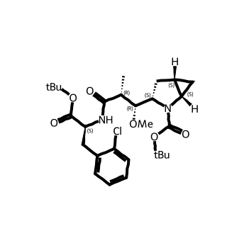 CO[C@H]([C@@H](C)C(=O)N[C@@H](Cc1ccccc1Cl)C(=O)OC(C)(C)C)[C@@H]1C[C@@H]2C[C@@H]2N1C(=O)OC(C)(C)C